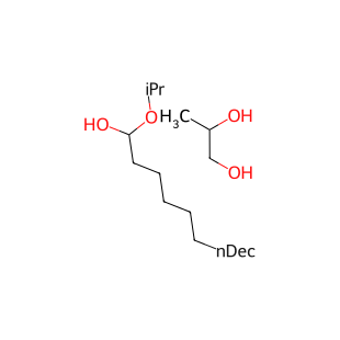 CC(O)CO.CCCCCCCCCCCCCCCC(O)OC(C)C